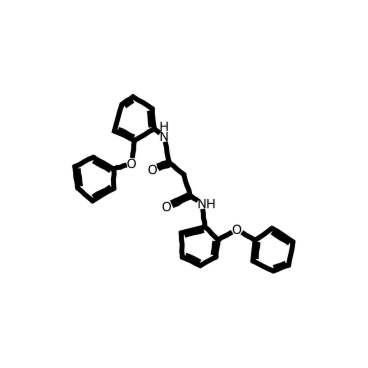 O=C(CC(=O)Nc1ccccc1Oc1ccccc1)Nc1ccccc1Oc1ccccc1